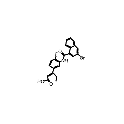 CC/C(=C\C(=O)O)c1ccc(F)c(NC(=O)c2cc(Br)cc3ccccc23)c1